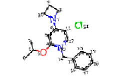 CC(C)Oc1cc(N2CCC2)cc[n+]1Cc1ccccc1.[Cl-]